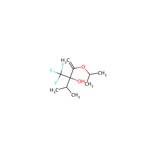 C=C(OC(C)C)C(O)(C(C)C)C(F)(F)F